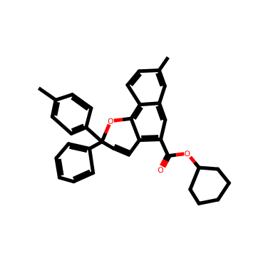 Cc1ccc(C2(c3ccccc3)C=Cc3c(C(=O)OC4CCCCC4)cc4cc(C)ccc4c3O2)cc1